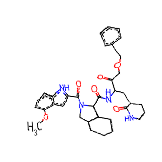 COc1cccc2[nH]c(C(=O)N3CC4CCCCC4C3C(=O)NC(CC3CCCNC3=O)C(=O)COCc3ccccc3)cc12